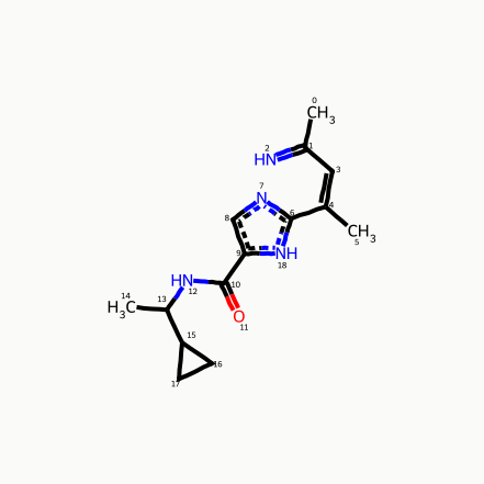 CC(=N)/C=C(/C)c1ncc(C(=O)NC(C)C2CC2)[nH]1